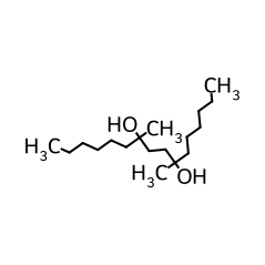 CCCCCCC(C)(O)CCC(C)(O)CCCCCC